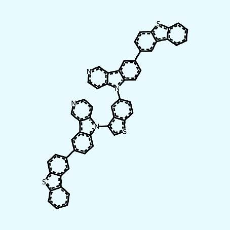 c1ccc2c(c1)sc1ccc(-c3ccc4c(c3)c3cnccc3n4-c3ccc4scc(-n5c6ccncc6c6cc(-c7ccc8sc9ccccc9c8c7)ccc65)c4c3)cc12